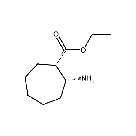 CCOC(=O)[C@H]1CCCCC[C@H]1N